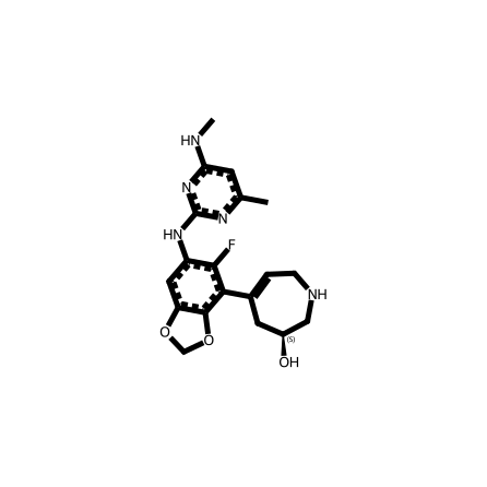 CNc1cc(C)nc(Nc2cc3c(c(C4=CCNC[C@@H](O)C4)c2F)OCO3)n1